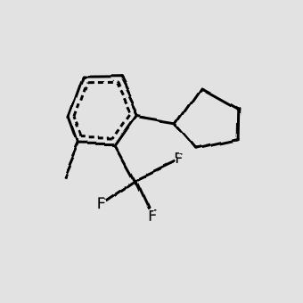 Cc1cccc(C2CCCC2)c1C(F)(F)F